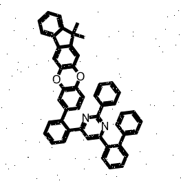 CC1(C)c2ccccc2-c2cc3c(cc21)Oc1ccc(-c2ccccc2-c2cc(-c4ccccc4-c4ccccc4)nc(-c4ccccc4)n2)cc1O3